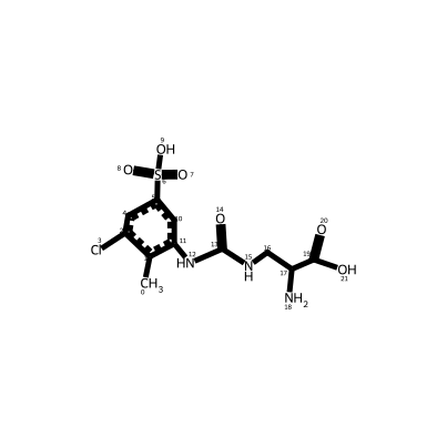 Cc1c(Cl)cc(S(=O)(=O)O)cc1NC(=O)NCC(N)C(=O)O